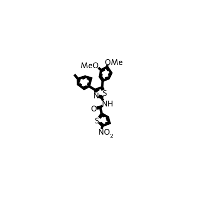 COc1ccc(-c2sc(NC(=O)c3ccc([N+](=O)[O-])s3)nc2-c2ccc(C)cc2)cc1OC